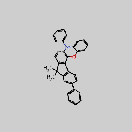 CC1(C)c2cc(-c3ccccc3)ccc2-c2c1ccc1c2Oc2ccccc2N1c1ccccc1